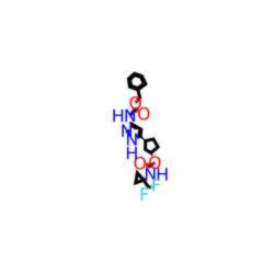 O=C(Nc1cc([C@H]2CC[C@@H](OC(=O)NC3(C(F)F)CC3)C2)[nH]n1)OCc1ccccc1